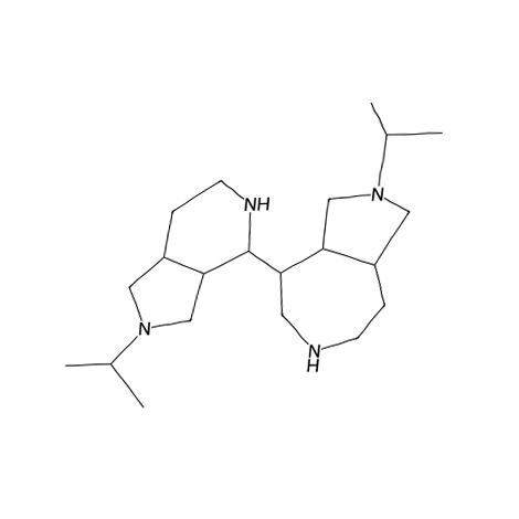 CC(C)N1CC2CCNCC(C3NCCC4CN(C(C)C)CC43)C2C1